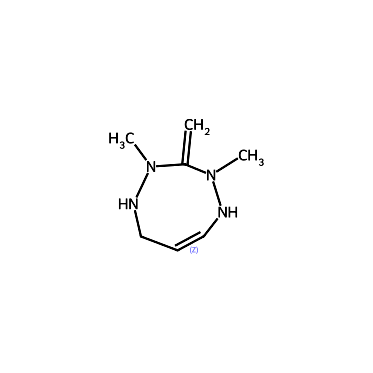 C=C1N(C)N/C=C\CNN1C